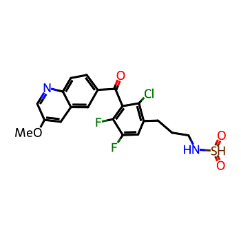 COc1cnc2ccc(C(=O)c3c(F)c(F)cc(CCCN[SH](=O)=O)c3Cl)cc2c1